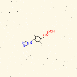 Cc1cc(COOOO)c(C)cc1/C=N/n1cnnc1